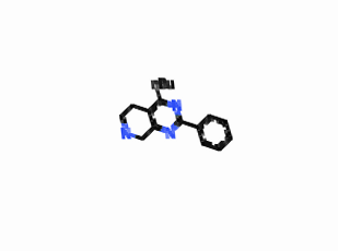 CCCCc1nc(-c2ccccc2)nc2c1CC=NC2